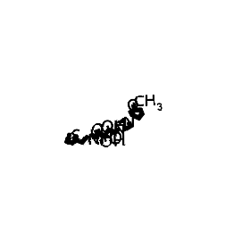 COc1cccc(N2CCN(C(=O)[C@H](O)[C@@H](O)C(=O)NCCc3cccs3)CC2)c1